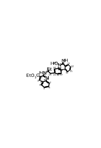 CCOC(=O)c1cc2ccccc2nc1NC(CC)Cc1ccc(-c2ccccc2C(=N)NO)cc1